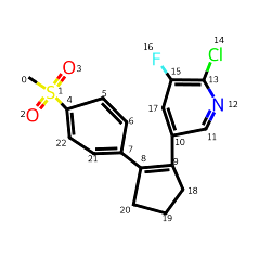 CS(=O)(=O)c1ccc(C2=C(c3cnc(Cl)c(F)c3)CCC2)cc1